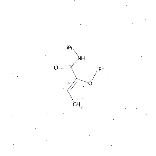 C/C=C(\OC(C)C)C(=O)NC(C)C